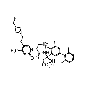 CCOC(=O)CC(O)(NC(=O)C(CC(C)C)n1cc(CCN2CC(CF)C2)c(C(F)(F)F)cc1=O)c1cc(-c2c(C)cccc2C)cc(C)c1F